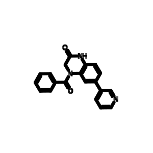 O=C1CN(C(=O)c2ccccc2)c2cc(-c3cccnc3)ccc2N1